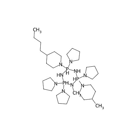 CCCCC1CCN([PH]2(N3CCCC3)N[PH](N3CCCC3)(N3CCCC3)N(C)[PH](N3CCCC3)(N3CCC(C)CC3)N2)CC1